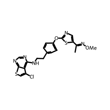 CO/N=C(\C)c1cnc(Oc2ccc(CCNc3ncnc4scc(Cl)c34)cc2)s1